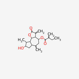 C=C(CC)C(=O)OC1CC(=C)C2CC(O)C(C)C2C2OC(=O)C(=C)C12